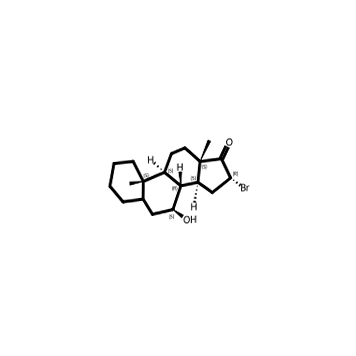 C[C@]12CCCCC1C[C@H](O)[C@@H]1[C@@H]2CC[C@]2(C)C(=O)[C@H](Br)C[C@@H]12